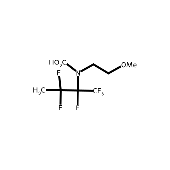 COCCN(C(=O)O)C(F)(C(C)(F)F)C(F)(F)F